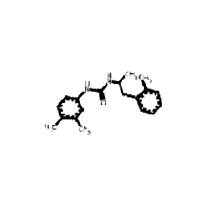 Cc1ccc(NC(=O)NC(C)Cc2ccccc2C)cc1C